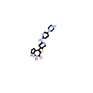 CCN(C)C(=O)c1sc2cnc(Nc3ccc(N4CCNCC4)cn3)cc2c1C1=CCCC1